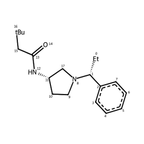 CC[C@H](c1ccccc1)N1CC[C@H](NC(=O)CC(C)(C)C)C1